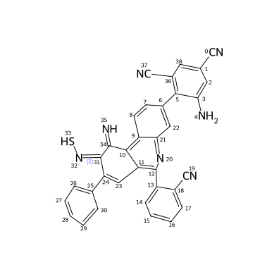 N#Cc1cc(N)c(-c2ccc3c4c(c(-c5ccccc5C#N)nc3c2)C=C(c2ccccc2)/C(=N/S)C4=N)c(C#N)c1